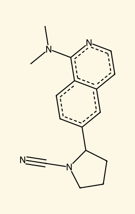 CN(C)c1nccc2cc(C3CCCN3C#N)ccc12